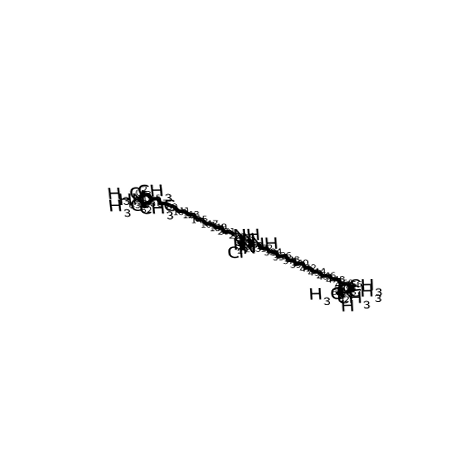 CC1(C)CC(CCCCCCCCCCCCCCCCCCNc2nc(Cl)nc(NCCCCCCCCCCCCCCCCCCC3CC(C)(C)NC(C)(C)C3)n2)CC(C)(C)N1